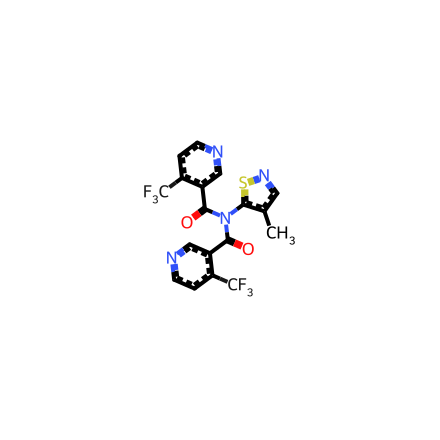 Cc1cnsc1N(C(=O)c1cnccc1C(F)(F)F)C(=O)c1cnccc1C(F)(F)F